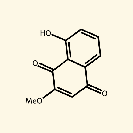 COC1=CC(=O)c2cccc(O)c2C1=O